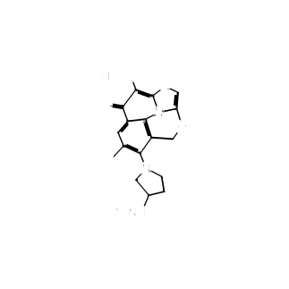 CC(=O)NC1CCN(c2c(F)cc3c(=O)c(C(=O)O)c4scc5n4c3c2CO5)C1